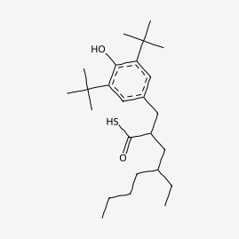 CCCCC(CC)CC(Cc1cc(C(C)(C)C)c(O)c(C(C)(C)C)c1)C(=O)S